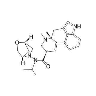 CC(C)N(C(=O)[C@@H]1C=C2c3cccc4[nH]cc(c34)C[C@@]2(C)N(C)C1)N1C[C@@H]2C[C@H]1CO2